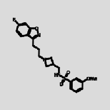 COc1cccc(S(=O)(=O)NCC2CN(CCCc3noc4cc(F)ccc34)C2)c1